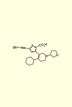 CC(C)(C)C#Cc1cc(C2=C(C3CCCCC3)CCN(C3CCOC3)C2)c(C(=O)O)s1